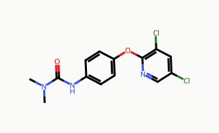 CN(C)C(=O)Nc1ccc(Oc2ncc(Cl)cc2Cl)cc1